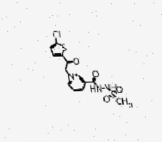 CS(=O)(=O)NNC(=O)c1ccc[n+](CC(=O)c2ccc(Cl)s2)c1